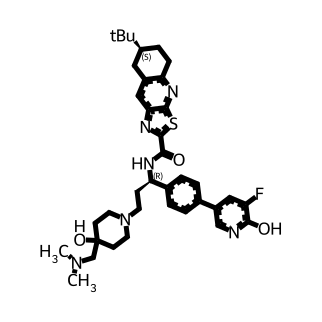 CN(C)CC1(O)CCN(CC[C@@H](NC(=O)c2nc3cc4c(nc3s2)CC[C@H](C(C)(C)C)C4)c2ccc(-c3cnc(O)c(F)c3)cc2)CC1